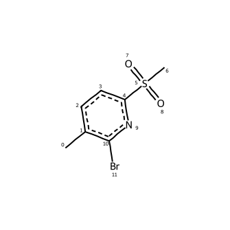 Cc1ccc(S(C)(=O)=O)nc1Br